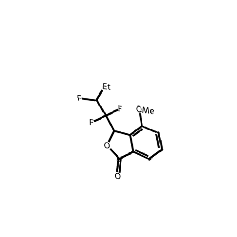 CCC(F)C(F)(F)C1OC(=O)c2cccc(OC)c21